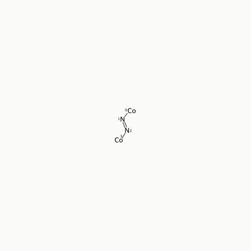 [Co][N]=[N][Co]